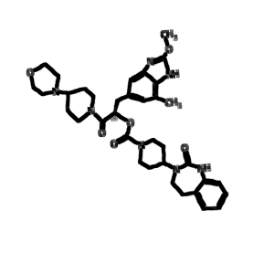 COc1nc2cc(C[C@@H](OC(=O)N3CCC(N4CCc5ccccc5NC4=O)CC3)C(=O)N3CCC(N4CCOCC4)CC3)cc(C)c2[nH]1